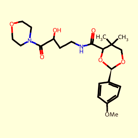 COc1ccc([C@@H]2OCC(C)(C)C(C(=O)NCCC(O)C(=O)N3CCOCC3)O2)cc1